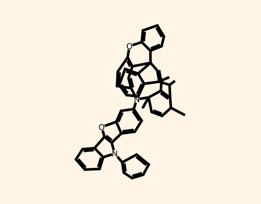 CC1C=CC2(C)C3=C1C(C)C1=C(C3C)C3(c4ccccc4Oc4ccc(cc43)N2c2ccc3c(c2)oc2c4ccccc4n(-c4ccccc4)c32)c2ccccc21